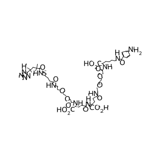 CC(C)(CC(C)(C)c1nnn[nH]1)C(=O)NSCCCC(=O)NCCOCCOCC(=O)NC(CCC(=O)NC(CCC(=O)NCCOCCOCC(=O)NC(CCCCNC(=O)c1ccc(N)cc1)C(=O)O)C(=O)O)C(=O)O